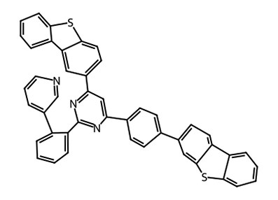 c1cncc(-c2ccccc2-c2nc(-c3ccc(-c4ccc5c(c4)sc4ccccc45)cc3)cc(-c3ccc4sc5ccccc5c4c3)n2)c1